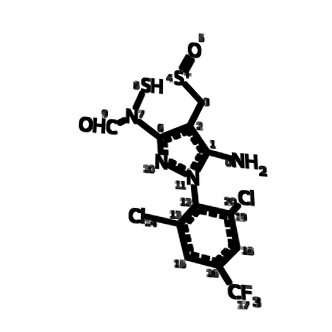 Nc1c(C[S+]=O)c(N(S)C=O)nn1-c1c(Cl)cc(C(F)(F)F)cc1Cl